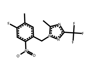 Cc1cc(Cn2nc(C(F)(F)F)nc2C)c([N+](=O)[O-])cc1F